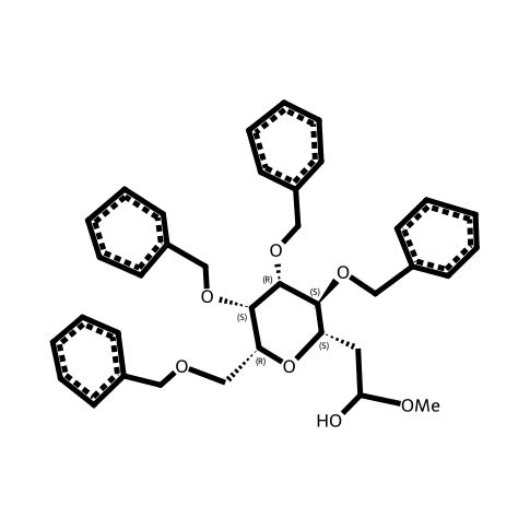 COC(O)C[C@@H]1O[C@H](COCc2ccccc2)[C@H](OCc2ccccc2)[C@H](OCc2ccccc2)[C@H]1OCc1ccccc1